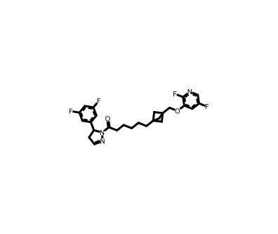 O=C(CCCCCC12CC(COc3cc(F)cnc3F)(C1)C2)N1N=CCC1c1cc(F)cc(F)c1